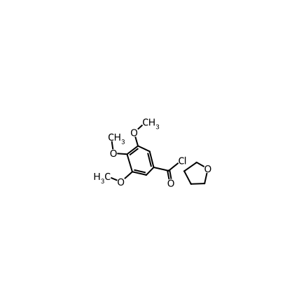 C1CCOC1.COc1cc(C(=O)Cl)cc(OC)c1OC